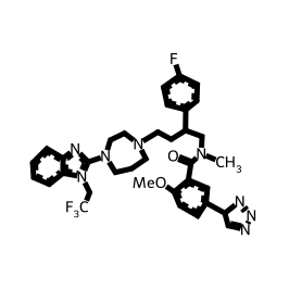 COc1ccc(C2C=NN=N2)cc1C(=O)N(C)CC(CCN1CCCN(c2nc3ccccc3n2CC(F)(F)F)CC1)c1ccc(F)cc1